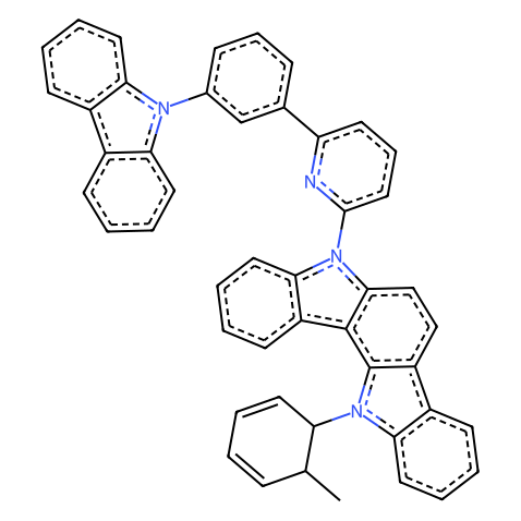 CC1C=CC=CC1n1c2ccccc2c2ccc3c(c4ccccc4n3-c3cccc(-c4cccc(-n5c6ccccc6c6ccccc65)c4)n3)c21